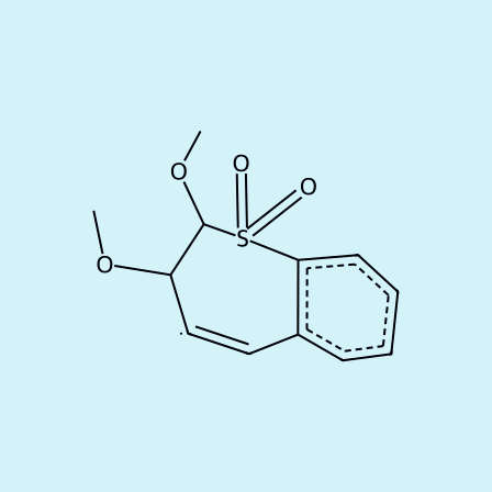 COC1[C]=Cc2ccccc2S(=O)(=O)C1OC